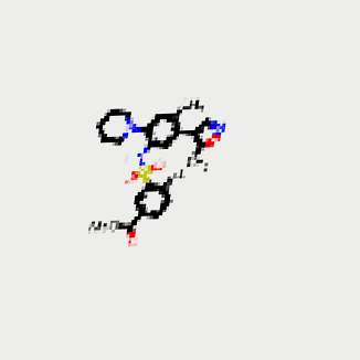 CCc1ccc(C(=O)OC)cc1S(=O)(=O)Nc1cc(-c2cnoc2C)c(C)cc1N1CCCCC1